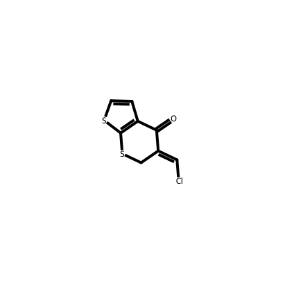 O=C1C(=CCl)CSc2sccc21